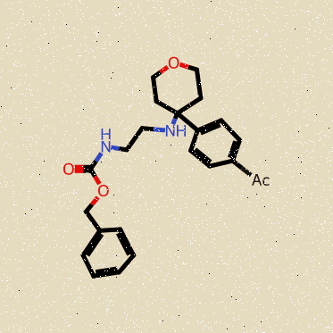 CC(=O)c1ccc(C2(NCCNC(=O)OCc3ccccc3)CCOCC2)cc1